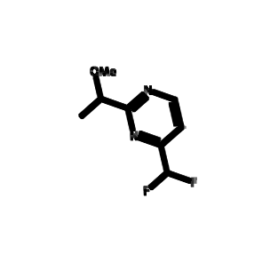 COC(C)c1nc[c]c(C(F)F)n1